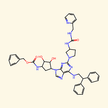 O=C(NCc1ccccn1)NC1CCN(c2nc(NCC(c3ccccc3)c3ccccc3)c3ncn(C4CC(NC(=O)OCc5ccccc5)C(O)C4O)c3n2)C1